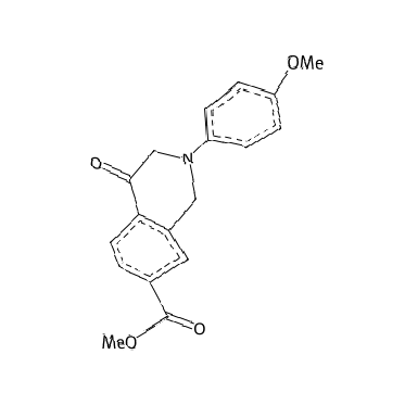 COC(=O)c1ccc2c(c1)CN(c1ccc(OC)cc1)CC2=O